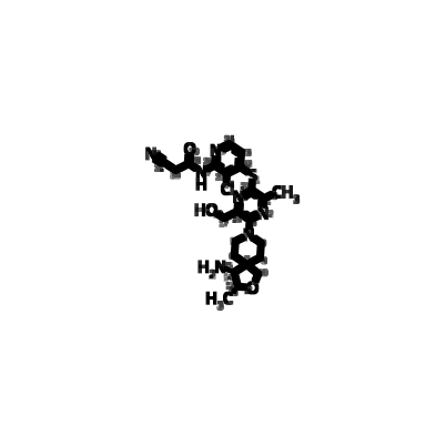 Cc1nc(N2CCC3(CC2)CO[C@@H](C)[C@H]3N)c(CO)nc1Sc1ccnc(NC(=O)CC#N)c1Cl